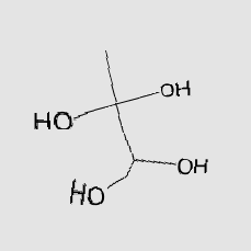 CC(O)(O)C(O)O